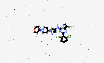 Clc1cccc(Cl)c1-c1nc(Nc2cnn(C3CCN(C4CCOCC4)CC3)c2)n2ncc(Cl)c2n1